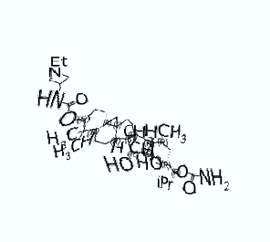 CCN1CC(NC(=O)O[C@H]2CC[C@]34C[C@]35CC[C@]3(C)[C@@H]6[C@H](O[C@@H]([C@H](OC(N)=O)C(C)C)C[C@H]6C)[C@H](O)[C@@]3(C)[C@@H]5CC[C@H]4C2(C)C)C1